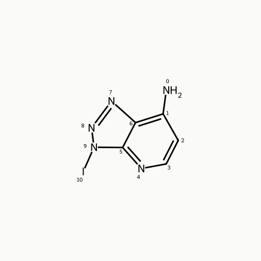 Nc1ccnc2c1nnn2I